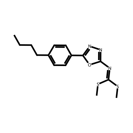 CCCCc1ccc(-c2nnc(N=C(SC)SC)o2)cc1